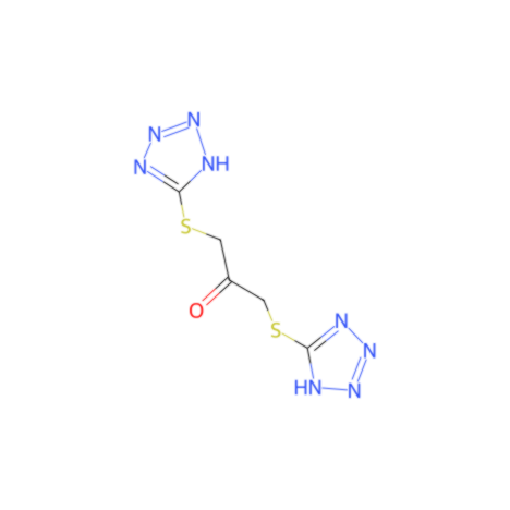 O=C(CSc1nnn[nH]1)CSc1nnn[nH]1